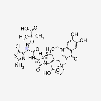 CCn1cc(C[N+]2(CC3=C(C(=O)O)N4C(=O)[C@@H](NC(=O)/C(=N\OC(C)(C)C(=O)O)c5nc(N)sc5Cl)[C@H]4SC3)CCCC2)c(=O)c2cc(O)c(O)cc21